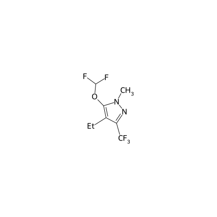 CCc1c(C(F)(F)F)nn(C)c1OC(F)F